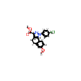 COC(=O)c1nn(-c2ccc(Cl)cc2)c2c1CCc1cc(OC)ccc1-2